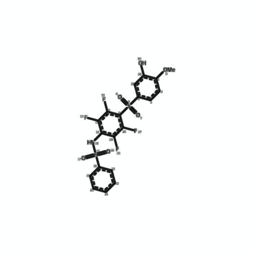 COc1ccc(S(=O)(=O)c2c(F)c(F)c(NS(=O)(=O)c3ccccc3)c(F)c2F)cc1O